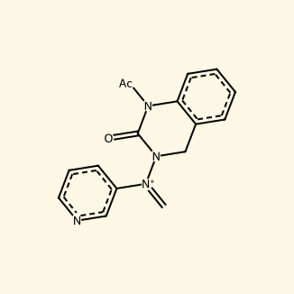 C=[N+](c1cccnc1)N1Cc2ccccc2N(C(C)=O)C1=O